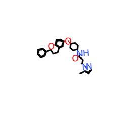 Cc1ccnn1CCC(=O)N[C@H]1CC[C@H](Oc2ccc3c(c2)CCC(c2ccccc2)O3)CC1